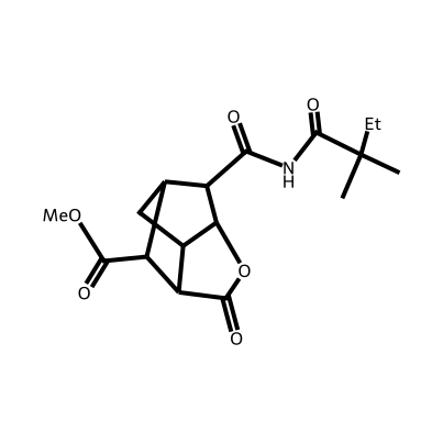 CCC(C)(C)C(=O)NC(=O)C1C2CC3C1OC(=O)C3C2C(=O)OC